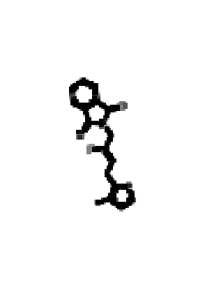 Cc1ccsc1CC=C(F)CN1C(=O)c2ccccc2C1=O